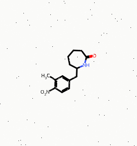 Cc1cc(CC2CCCCC(=O)N2)ccc1[N+](=O)[O-]